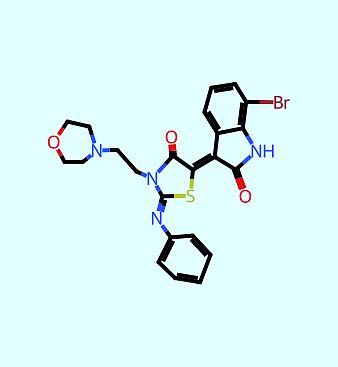 O=C1Nc2c(Br)cccc2/C1=C1/S/C(=N\c2ccccc2)N(CCN2CCOCC2)C1=O